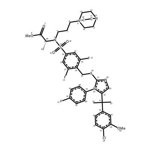 COC(=O)[C@@H](C)N(CCC[N+]12CCN(CC1)CC2)S(=O)(=O)c1cc(F)c(CSc2ncc(C(C)(C)c3ccc(Cl)c(OC)c3)n2-c2ccc(F)cc2)c(F)c1